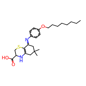 CCCCCCCCOc1ccc(/N=C2\CC(C)(C)CC3=C2SCC(C(=O)O)N3)cc1